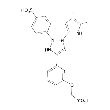 Cc1cc(N2N=C(c3cccc(OCC(=O)O)c3)NN2c2ccc(S(=O)(=O)O)cc2)[nH]c1C